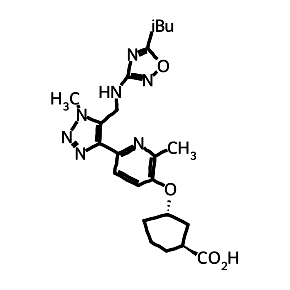 CCC(C)c1nc(NCc2c(-c3ccc(O[C@H]4CCC[C@H](C(=O)O)C4)c(C)n3)nnn2C)no1